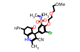 CCCC1CC(=O)C2=C(C1)NC(C)=C(C#N)C2c1cc(Br)c(OCCOCCOC)c(S(=O)(=O)N(C)C)c1